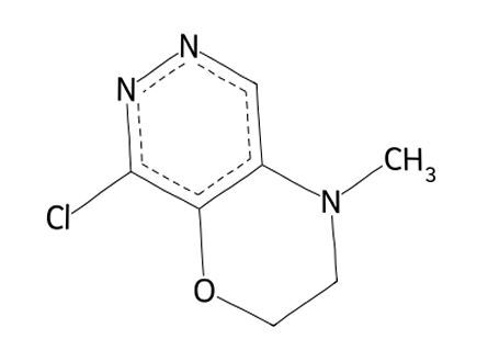 CN1CCOc2c1cnnc2Cl